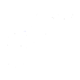 COc1cc(/C=C/c2cccc(-c3ccccc3)c2CF)c(C)cc1CNCCO